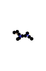 c1ccc(-c2ccc(-n3c4ccccc4c4cc(-c5ccc(N(c6ccc(-c7cccc8c7sc7ccccc78)cc6)c6ccc7ccccc7c6)cc5)ccc43)cc2)cc1